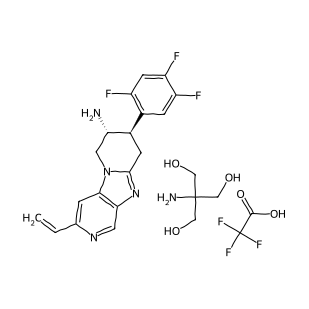 C=Cc1cc2c(cn1)nc1n2C[C@H](N)[C@@H](c2cc(F)c(F)cc2F)C1.NC(CO)(CO)CO.O=C(O)C(F)(F)F